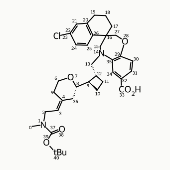 CN(C/C=C1\CCO[C@H]([C@@H]2CC[C@H]2CN2CC3(CCCc4cc(Cl)ccc43)COc3ccc(C(=O)O)cc32)C1)C(=O)OC(C)(C)C